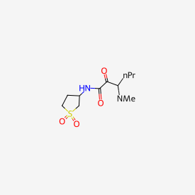 CCCC(NC)C(=O)C(=O)NC1CCS(=O)(=O)C1